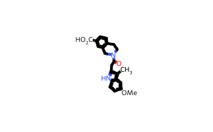 COc1ccc2[nH]c(CC(=O)N3CCc4ccc(C(=O)O)cc4C3)c(C)c2c1